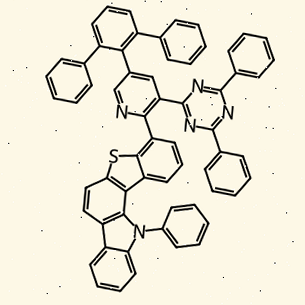 c1ccc(-c2nc(-c3ccccc3)nc(-c3cc(-c4c(-c5ccccc5)cccc4-c4ccccc4)cnc3-c3cccc4c3sc3ccc5c6ccccc6n(-c6ccccc6)c5c34)n2)cc1